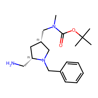 CN(C[C@H]1C[C@@H](CN)N(Cc2ccccc2)C1)C(=O)OC(C)(C)C